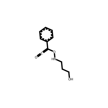 O=C=C(ONCCCO)c1ccccc1